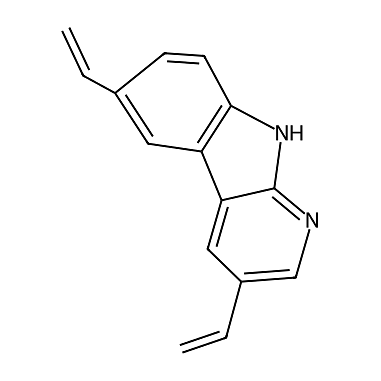 C=Cc1ccc2[nH]c3ncc(C=C)cc3c2c1